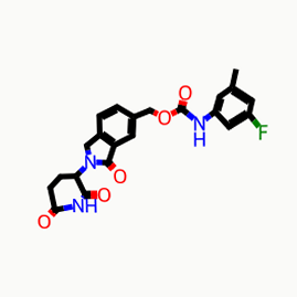 Cc1cc(F)cc(NC(=O)OCc2ccc3c(c2)C(=O)N(C2CCC(=O)NC2=O)C3)c1